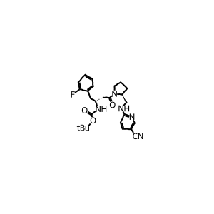 CC(C)(C)OC(=O)N[C@@H](CC(=O)N1CCC[C@H]1CNc1ccc(C#N)cn1)Cc1ccccc1F